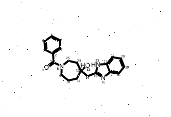 O=C(c1ccccc1)N1CCCC(O)(Cc2nc3ccccc3[nH]2)CC1